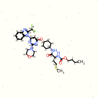 CCCCOC(=O)N[C@@H](CCSC)C(=O)N[C@H]1CC[C@H](Oc2cc(-n3c(C(F)F)nc4ccccc43)nc(N3CCOCC3)n2)CC1